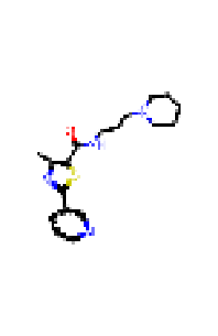 Cc1nc(-c2cccnc2)sc1C(=O)NCCCN1CCCCC1